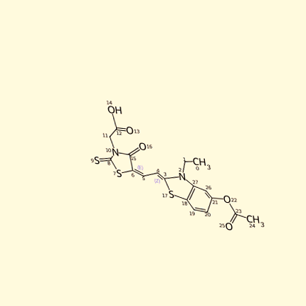 CCN1/C(=C/C=C2/SC(=S)N(CC(=O)O)C2=O)Sc2ccc(OC(C)=O)cc21